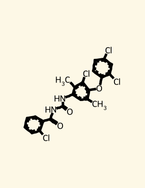 Cc1cc(NC(=O)NC(=O)c2ccccc2Cl)c(C)c(Cl)c1Oc1ccc(Cl)cc1Cl